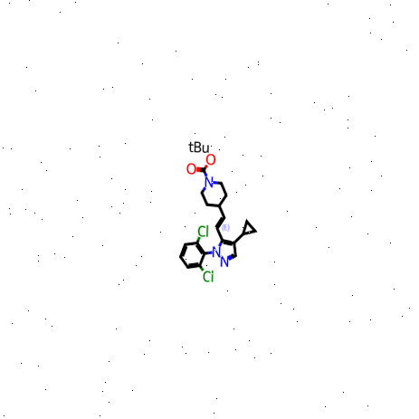 CC(C)(C)OC(=O)N1CCC(/C=C/c2c(C3CC3)cnn2-c2c(Cl)cccc2Cl)CC1